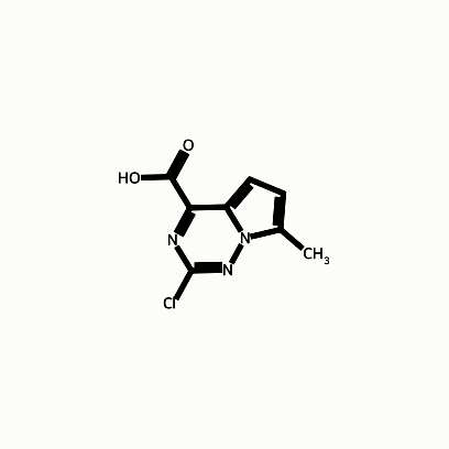 Cc1ccc2c(C(=O)O)nc(Cl)nn12